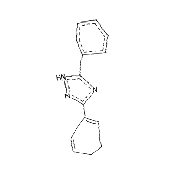 C1=CC(c2n[nH]c(-c3ccccc3)n2)=CCC1